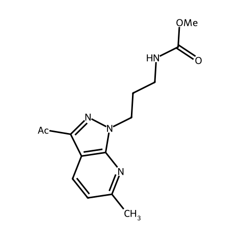 COC(=O)NCCCn1nc(C(C)=O)c2ccc(C)nc21